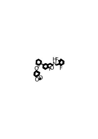 O=C(Cc1cc([C@@H]2CCCC[C@H]2COc2ccc3c(c2)OCO3)ccc1F)NCc1c(F)cccc1F